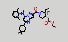 CCOC(=O)C[C@@H]1CCN(C(=O)c2cc3nc(C4CCC(C)(C)CC4)cc(N(C)c4c(C)cccc4C)n3n2)C[C@@]1(F)CC